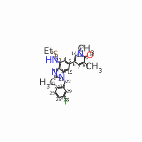 CCSNc1cc(-c2cc(C)c(=O)n(C)c2)cc2c1nc(C)n2Cc1cccc(F)c1